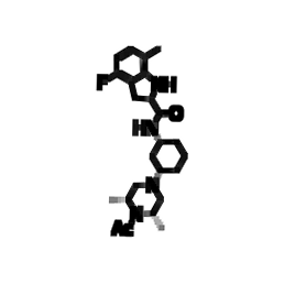 CC(=O)N1[C@H](C)CN([C@H]2CCC[C@@H](NC(=O)C3Cc4c(F)ccc(C)c4N3)C2)C[C@@H]1C